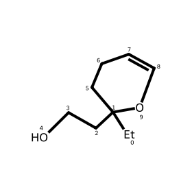 CCC1(CCO)CCC=CO1